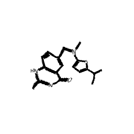 Cc1nc(=O)c2cc(CN(C)c3ccc(C(C)C)s3)ccc2[nH]1